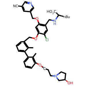 CCCCC(NCc1cc(Cl)c(OCc2cccc(-c3cccc(OCCCN4CC[C@@H](O)C4)c3C)c2C)cc1OCc1cncc(C#N)c1)C(=O)O